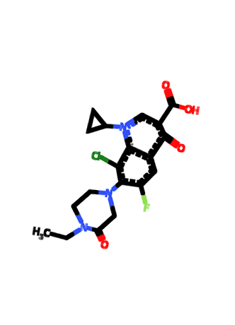 CCN1CCN(c2c(F)cc3c(=O)c(C(=O)O)cn(C4CC4)c3c2Cl)CC1=O